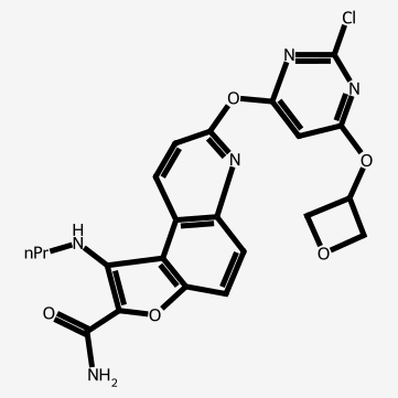 CCCNc1c(C(N)=O)oc2ccc3nc(Oc4cc(OC5COC5)nc(Cl)n4)ccc3c12